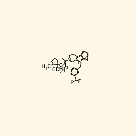 CC1(C)[C@@H](CC(=O)N2CCc3c(n(Cc4cccc(C(F)F)c4)c4ncccc34)C2)CC[C@@]1(C)C(=O)O